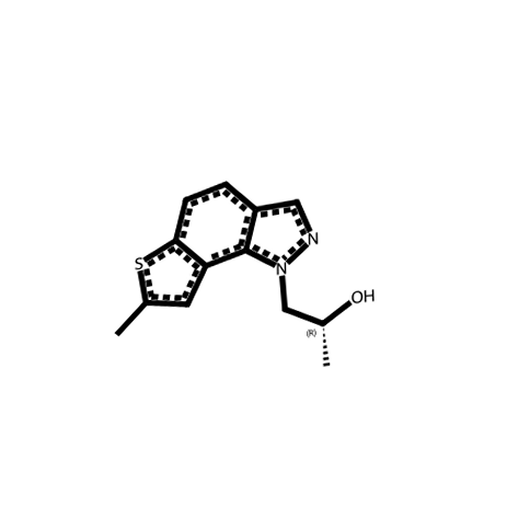 Cc1cc2c(ccc3cnn(C[C@@H](C)O)c32)s1